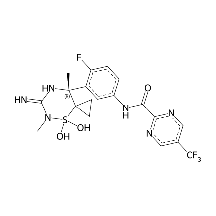 CN1C(=N)N[C@](C)(c2cc(NC(=O)c3ncc(C(F)(F)F)cn3)ccc2F)C2(CC2)S1(O)O